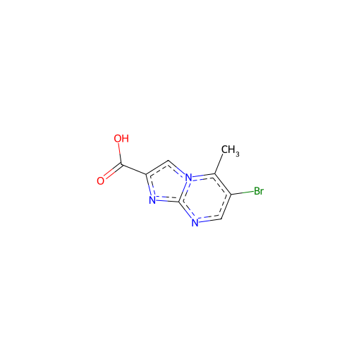 Cc1c(Br)cnc2nc(C(=O)O)cn12